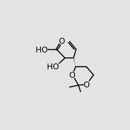 C=CC(C(O)C(=O)O)[C@@H]1CCOC(C)(C)O1